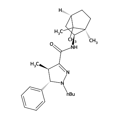 CCCCN1N=C(C(=O)N[C@H]2C[C@H]3CC[C@]2(C)C3(C)C)[C@H](C)[C@H]1c1ccccc1